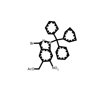 CC(=O)OCc1cc2c(Br)nn(C(c3ccccc3)(c3ccccc3)c3ccccc3)c2cc1[N+](=O)[O-]